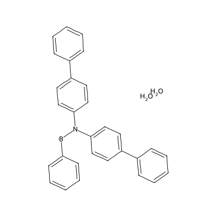 O.O.[B](c1ccccc1)N(c1ccc(-c2ccccc2)cc1)c1ccc(-c2ccccc2)cc1